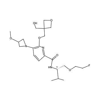 COC1CN(c2ccc(C(=O)N[C@H](COCCF)C(C)C)nc2OCC2(CO)COC2)C1